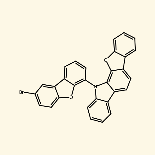 Brc1ccc2oc3c(-n4c5ccccc5c5ccc6c7ccccc7oc6c54)cccc3c2c1